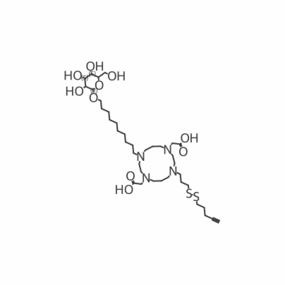 C#CCCCSSCCCN1CCCN(CC(=O)O)CCN(CCCCCCCCCCO[C@@H]2OC(CO)[C@@H](O)[C@H](O)C2O)CCCN(CC(=O)O)CC1